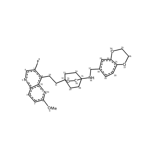 COc1ccc2ncc(F)c(CCC34CCC(NCc5ccc6c(c5)OCCO6)(CC3)CO4)c2n1